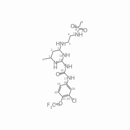 CC1CC(NCCNS(C)(=O)=O)NC(NC(=O)Nc2ccc(OC(F)(F)F)c(Cl)c2)N1